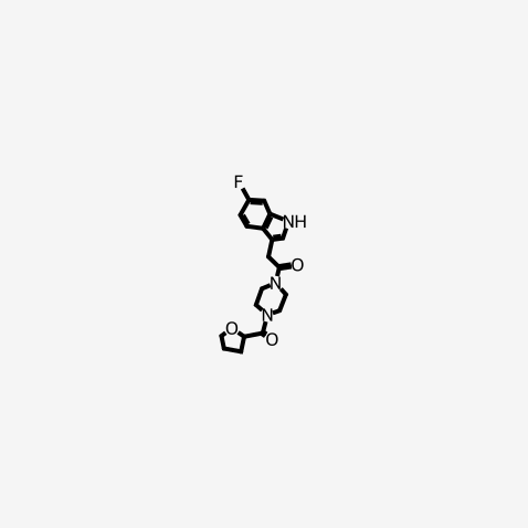 O=C(Cc1c[nH]c2cc(F)ccc12)N1CCN(C(=O)C2CCCO2)CC1